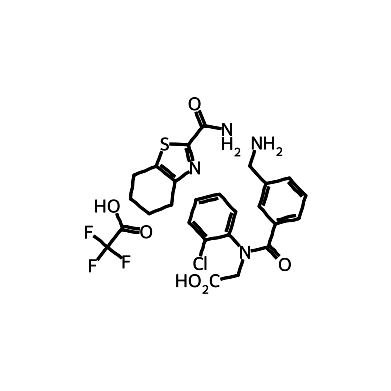 NC(=O)c1nc2c(s1)CCCC2.NCc1cccc(C(=O)N(CC(=O)O)c2ccccc2Cl)c1.O=C(O)C(F)(F)F